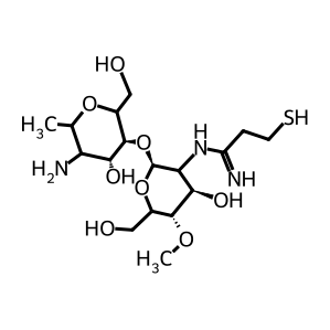 CO[C@@H]1C(CO)O[C@@H](O[C@@H]2C(CO)OC(C)C(N)[C@H]2O)C(NC(=N)CCS)[C@H]1O